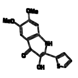 COc1cc2[nH]c(-c3cccs3)c(O)c(=O)c2cc1OC